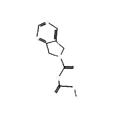 CC(C)(C)OC(=O)NC(=O)N1Cc2cncnc2C1